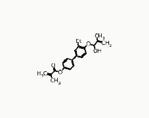 C=C(C)C(=O)Oc1ccc(-c2ccc(OC(O)C(=C)C)c(CC)c2)cc1